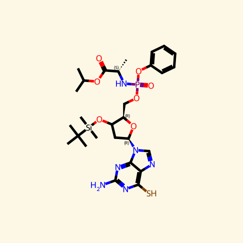 CC(C)OC(=O)[C@H](C)NP(=O)(OC[C@H]1O[C@@H](n2cnc3c(S)nc(N)nc32)CC1O[Si](C)(C)C(C)(C)C)Oc1ccccc1